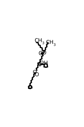 CCCCCCCCC(CCCCCC)OC(=O)CCCCCCN(CCCCOC(=O)CCCCCCCc1ccccc1)CC(O)C1CCCCC1